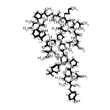 CCCC[C@@H](C(=O)N[C@@H](CC(C)C)C(=O)N[C@@H](CSCC(N)=O)C(=O)NCC(N)=O)N(C)C(=O)[C@H](CCC(C)c1cccc(N(C(C)OC)C(C(=O)O)c2cccc3c(C[C@H](NC(=O)[C@@H]4C[C@@H](O)CN4C(=O)[C@H](CC(C)C)NC(=O)[C@H](CNc4ccc(C(F)(F)F)cn4)NC(=O)[C@@H]4CCCN4C(=O)[C@H](CC(N)=O)NC(=O)[C@H](C)N(C)C(=O)[C@@H](C)Cc4ccc(O)cc4)C(=O)N[C@@H](CCN)C(=O)NC)c[nH]c23)c1)NC